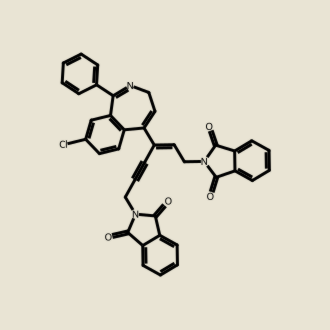 O=C1c2ccccc2C(=O)N1CC#CC(=CCN1C(=O)c2ccccc2C1=O)C1=CCN=C(c2ccccc2)c2cc(Cl)ccc21